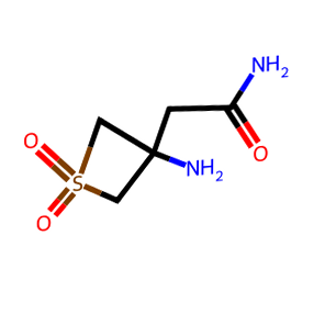 NC(=O)CC1(N)CS(=O)(=O)C1